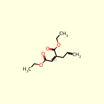 C=CC/C(=C/C(=O)OCC)C(=O)OCC